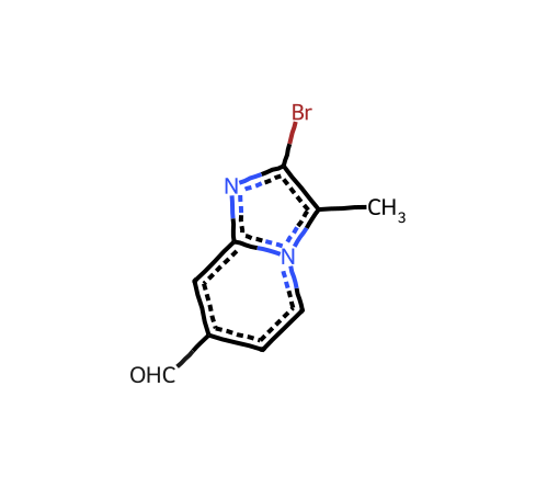 Cc1c(Br)nc2cc(C=O)ccn12